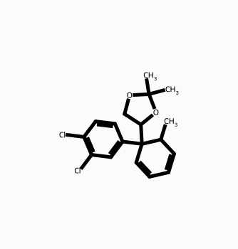 CC1C=CC=CC1(c1ccc(Cl)c(Cl)c1)C1COC(C)(C)O1